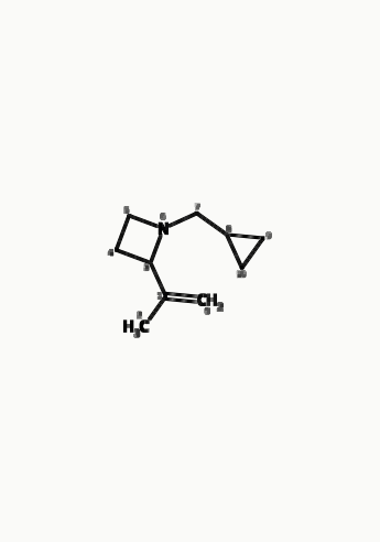 C=C(C)C1CCN1CC1CC1